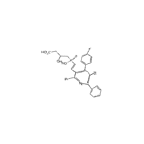 CCc1c(-c2ccccc2)nc(C(C)C)c(C=CP(=O)(O)CC(O)CC(=O)O)c1-c1ccc(F)cc1